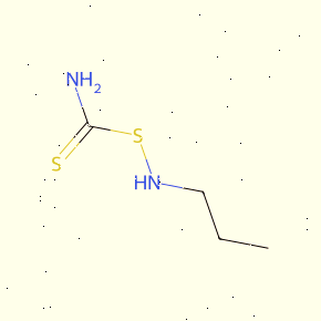 CCCNSC(N)=S